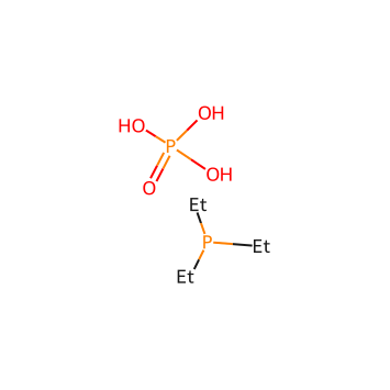 CCP(CC)CC.O=P(O)(O)O